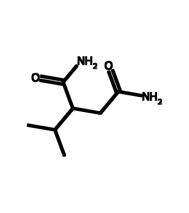 CC(C)C(CC(N)=O)C(N)=O